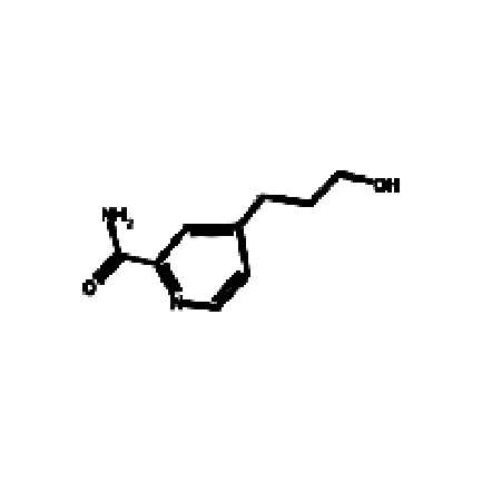 NC(=O)c1cc([CH]CCO)ccn1